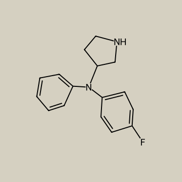 Fc1ccc(N(c2ccccc2)C2CCNC2)cc1